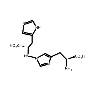 N[C@@H](Cc1cn(N[C@@H](Cc2cnc[nH]2)C(=O)O)cn1)C(=O)O